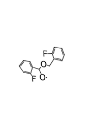 [O]C(OCc1ccccc1F)c1ccccc1F